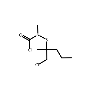 CCCC(C)(CCl)SN(C)C(=O)Cl